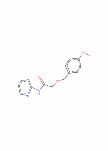 COc1ccc(COCC(=O)Nc2ccccn2)cc1